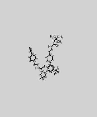 CC(C)(C)OC(=O)NCCC1CCN(c2cc(N3CC(F)(F)C[C@H]3C(=O)NCCc3ccc(C#N)cc3)nc(C(F)(F)F)n2)CC1